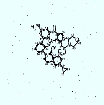 CC(Cn1cc(Nc2nc(N)nc(-c3cccc(-n4ccc5cc(C6CC6)cc(F)c5c4=O)c3CO)n2)cn1)N1CCOCC1